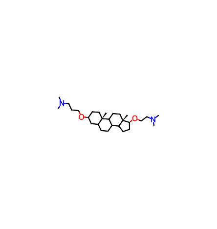 CN(C)CCCO[C@H]1CC[C@@]2(C)C(CCC3C2CC[C@@]2(C)C3CC[C@@H]2OCCN(C)C)C1